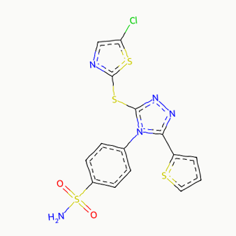 NS(=O)(=O)c1ccc(-n2c(Sc3ncc(Cl)s3)nnc2-c2cccs2)cc1